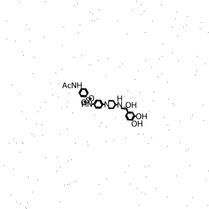 CC(=O)Nc1ccc(S(=O)(=O)Nc2ccc(N3CCC(NC[C@@H](O)c4ccc(O)c(O)c4)CC3)cc2)cc1